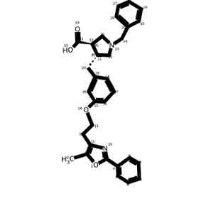 Cc1oc(-c2ccccc2)nc1CCOc1cccc(C[C@H]2CN(Cc3ccccc3)C[C@@H]2C(=O)O)c1